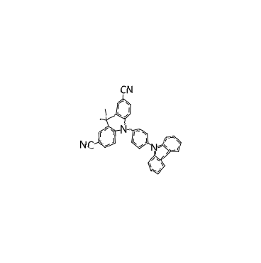 CC1(C)c2cc(C#N)ccc2N(c2ccc(-n3c4ccccc4c4ccccc43)cc2)c2ccc(C#N)cc21